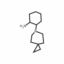 NC1CCCCC1N1CCC2(CC1)CC2